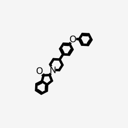 O=C1c2ccccc2CC1N1CCC(c2ccc(Oc3ccccc3)cc2)CC1